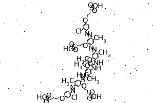 C=C(C)/C=C(NC(=O)Nc1cc(C)c(N=Nc2cc(C)c(/N=N/c3ccc(OCCCCS(=O)(=O)O)cc3Cl)cc2OCCCS(=O)(=O)O)cc1OC)\C(=C/CN=Nc1cc(C)c(/N=N/c2ccc(OCCCCS(=O)(=O)O)cc2Cl)cc1OCCCS(=O)(=O)O)OC